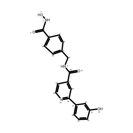 O=C(NO)c1ccc(CNC(=O)c2ccnc(-c3cccc(O)c3)c2)cc1